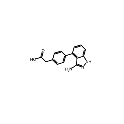 Nc1n[nH]c2cccc(-c3ccc(CC(=O)O)cc3)c12